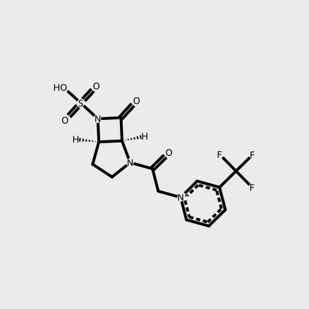 O=C(C[n+]1cccc(C(F)(F)F)c1)N1CC[C@@H]2[C@H]1C(=O)N2S(=O)(=O)O